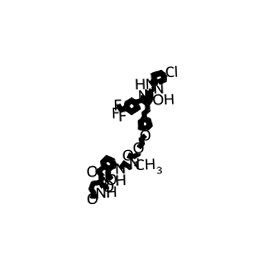 CN(CCNc1cccc2c1C(=O)N(C1CCC(=O)NC1=O)C2=O)C(=O)COCCOc1ccc(CCc2c(-c3ccc(C(F)(F)F)cc3)nn(-c3nc4cc(Cl)ccc4[nH]3)c2O)cc1